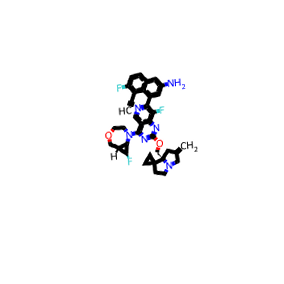 C#Cc1c(F)ccc2cc(N)cc(-c3ncc4c(N5CCOC[C@@H]6C5[C@H]6F)nc(OC[C@]56CC(=C)CN5CCC65CC5)nc4c3F)c12